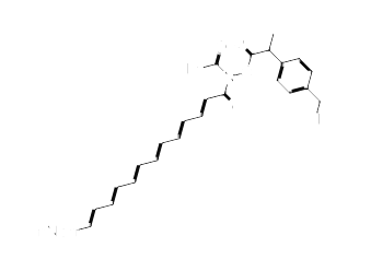 CCCCCCCCCC=CC=CC=CC=CC=CC=CC(=O)N(OC(=O)C(C)c1ccc(CC(C)C)cc1)C(=O)CCC